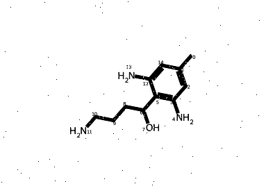 Cc1cc(N)c(C(O)CCCN)c(N)c1